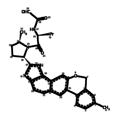 Cc1ccc2c(c1)COc1cc3c(ccc4nc([C@@H]5CC[C@H](C)N5C(=O)[C@@H](NC(=O)C=O)C(C)C)[nH]c43)cc1-2